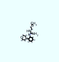 COCCN/C(N)=N/c1ccccc1N1CCOCC1